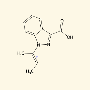 C/C=C(\C)n1nc(C(=O)O)c2ccccc21